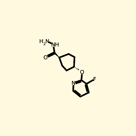 NNC(=O)[C@H]1CC[C@H](Oc2ncccc2F)CC1